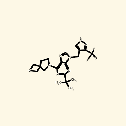 CC(C)(C)c1nc(N2CCC3(COC3)C2)c2ncn(Cc3c[nH]nc3C(F)(F)F)c2n1